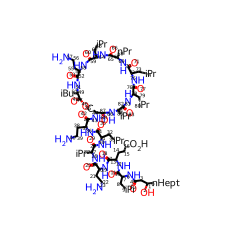 CCCCCCCC(O)CC(=O)NC(CC(C)C)C(=O)NC(CCC(=O)O)C(=O)NC(CCN)C(=O)NC(C(=O)NC(CC(C)C)C(=O)NC(CCN)C(=O)NC1COC(=O)C(C(C)CC)NC(=O)C(CCN)NC(=O)C(CC(C)C)NC(=O)C(CCC)NC(=O)C(CC(C)C)NC(=O)C(CC(C)C)NC(=O)C(C(C)C)NC1=O)C(C)C